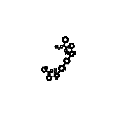 [CH2][C@@H](C(=O)N1CCC[C@H]1c1ncc(-c2ccc(-c3ccc(-c4cnc([C@@H]5CCCN5C(=O)[C@H]5CCCO5)[nH]4)cn3)cc2)[nH]1)c1ccccc1